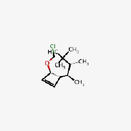 C[C@@H]([C@@H]1C=CC1OCCl)[C@@H](C)C(C)(C)C